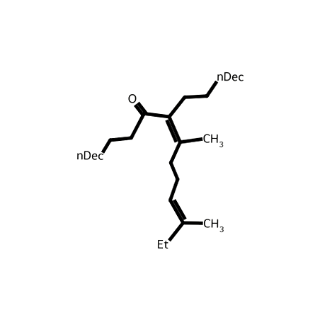 CCCCCCCCCCCCC(=O)C(CCCCCCCCCCCC)=C(C)CCC=C(C)CC